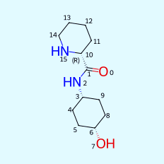 O=C(N[C@H]1CC[C@@H](O)CC1)[C@H]1CCCCN1